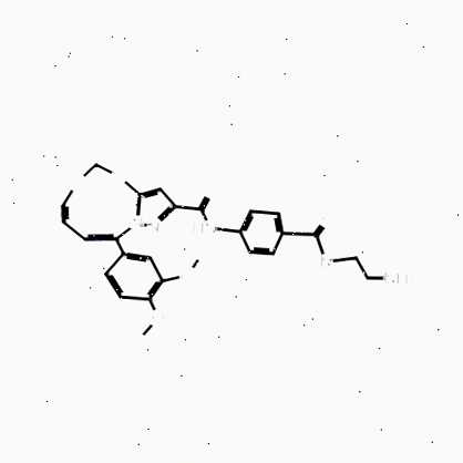 COc1ccc(/C2=C/C=C\CCCc3cc(C(=O)Nc4ccc(C(=O)NCCN)cc4)nn32)cc1OC